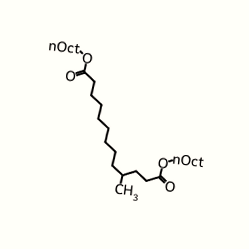 CCCCCCCCOC(=O)CCCCCCCCC(C)CCC(=O)OCCCCCCCC